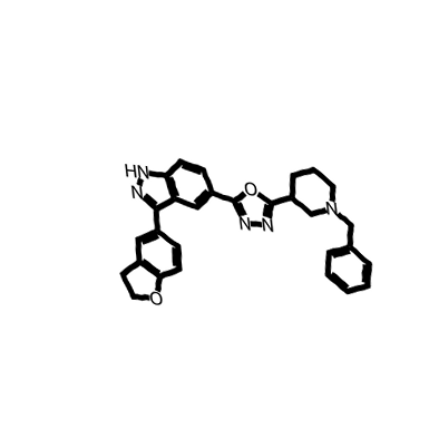 c1ccc(CN2CCCC(c3nnc(-c4ccc5[nH]nc(-c6ccc7c(c6)CCO7)c5c4)o3)C2)cc1